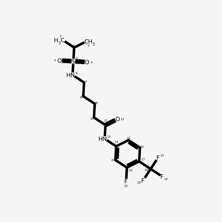 CC(C)S(=O)(=O)NCCCCC(=O)Nc1ccc(C(F)(F)F)c(F)c1